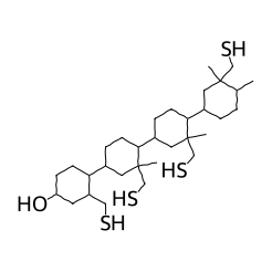 CC1CCC(C2CCC(C3CCC(C4CCC(O)CC4CS)CC3(C)CS)CC2(C)CS)CC1(C)CS